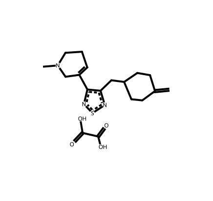 C=C1CCC(Cc2nsnc2C2=CCCN(C)C2)CC1.O=C(O)C(=O)O